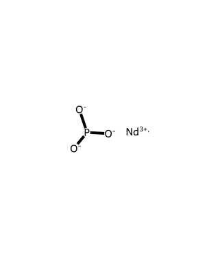 [Nd+3].[O-]P([O-])[O-]